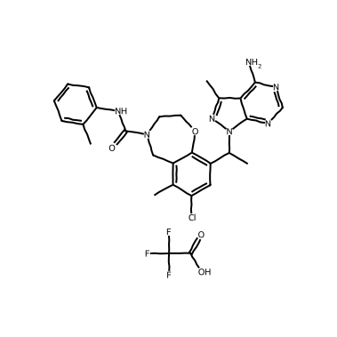 Cc1ccccc1NC(=O)N1CCOc2c(C(C)n3nc(C)c4c(N)ncnc43)cc(Cl)c(C)c2C1.O=C(O)C(F)(F)F